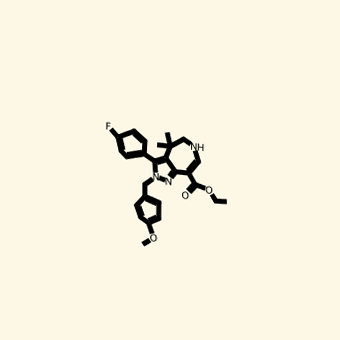 CCOC(=O)C1=CNCC(C)(C)c2c1nn(Cc1ccc(OC)cc1)c2-c1ccc(F)cc1